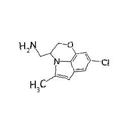 Cc1cc2cc(Cl)cc3c2n1C(CN)CO3